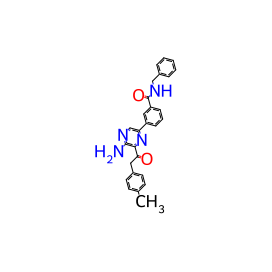 Cc1ccc(CC(=O)c2nc(-c3cccc(C(=O)NCc4ccccc4)c3)cnc2N)cc1